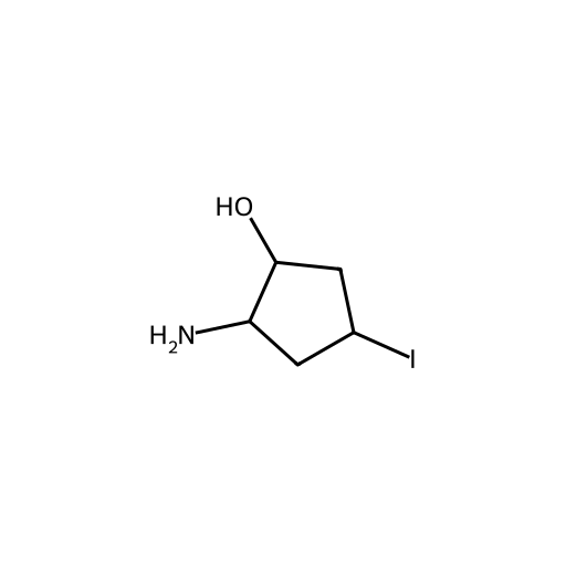 NC1CC(I)CC1O